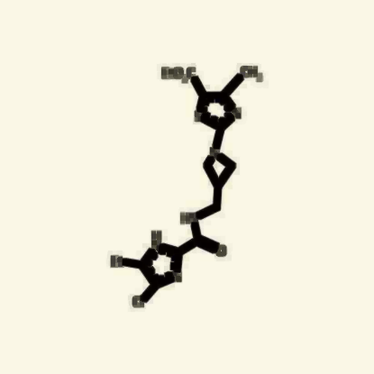 CCOC(=O)c1sc(N2CC(CNC(=O)c3nc(Cl)c(CC)[nH]3)C2)nc1C